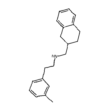 Cc1cccc(CCNCC2CCc3ccccc3C2)c1